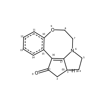 O=C1C[C@@H]2CCN3CCOc4ccccc4C1=C23